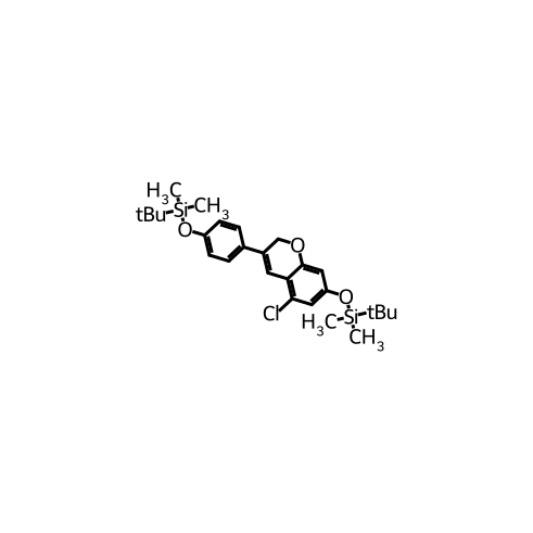 CC(C)(C)[Si](C)(C)Oc1ccc(C2=Cc3c(Cl)cc(O[Si](C)(C)C(C)(C)C)cc3OC2)cc1